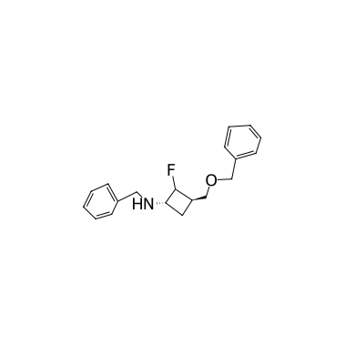 FC1[C@@H](COCc2ccccc2)C[C@@H]1NCc1ccccc1